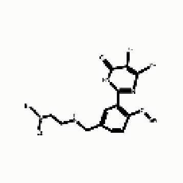 CCCOc1ccc(CNCCN(CC)CC)cc1-c1nc(CC)c(CC)c(=O)[nH]1